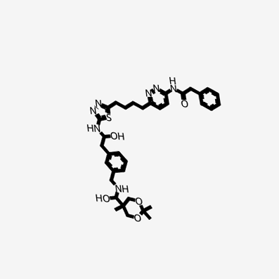 CC1(C)OCC(C)(C(O)NCc2cccc(CC(O)Nc3nnc(CCCCc4ccc(NC(=O)Cc5ccccc5)nn4)s3)c2)CO1